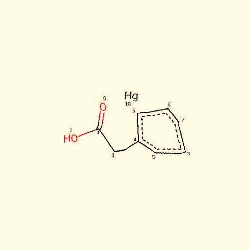 O=C(O)Cc1ccccc1.[Hg]